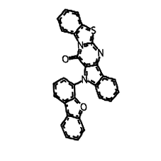 O=c1c2c(nc3sc4ccccc4n13)c1ccccc1n2-c1cccc2c1oc1ccccc12